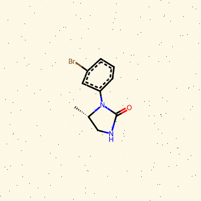 C[C@H]1CNC(=O)N1c1cccc(Br)c1